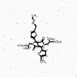 C/C=N/N=C/c1ccc(C2=C3C(=O)N(CC(CCCCCCCC)CCCCCCCCCC)C(c4ccc(C)s4)=C3C(=O)N2CC(CCCCCCCC)CCCCCCCCCC)s1